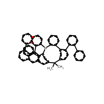 CC1(C)c2ccc(-c3ccccc3-c3ccccc3)c(c2)-c2ccccc2N(c2ccccc2-c2cccc3cccc(-c4ccccc4)c23)c2cc1ccc2-c1ccccc1